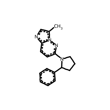 Cc1cnc2ccc(N3CCCC3c3ccccc3)nn12